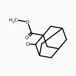 COC(=O)C12CC3CC(CC(C3)C1Cl)C2